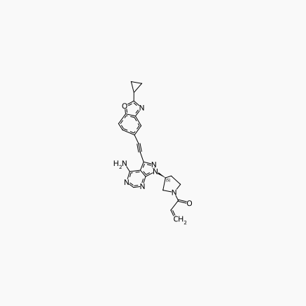 C=CC(=O)N1CC[C@H](n2nc(C#Cc3ccc4oc(C5CC5)nc4c3)c3c(N)ncnc32)C1